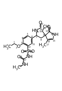 CCOc1ccc(C(CC2(CC)C(=O)NC=C2C)NC=O)cc1S(=O)(=O)NC(=O)NC